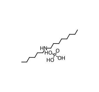 CCCCCCCCNCCCCCC.O=P(O)(O)O